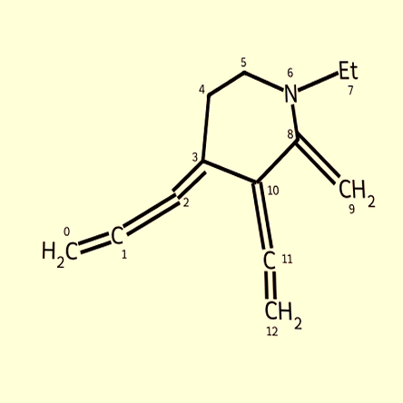 C=C=C=C1CCN(CC)C(=C)C1=C=C